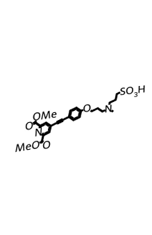 COC(=O)c1cc(C#Cc2ccc(OCCCN(C)CCCS(=O)(=O)O)cc2)cc(C(=O)OC)n1